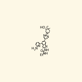 CCNC(=O)Nc1nc2cc(-c3cnc(N4CCC(C)(C(=O)O)CC4)nc3)cc(-c3cccc(N)n3)c2s1